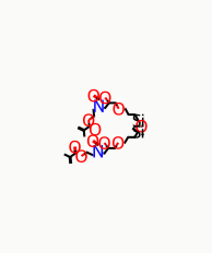 C=C(C)C(=O)OCCN1CC(COCCC[Si](C)(C)O[Si](C)(C)CCCOCC2CN(CCOC(=O)C(=C)C)C(=O)O2)OC1=O